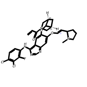 C=CC(=O)N1C[C@H]2C[C@@H](C1)C2Oc1cc2c(Nc3ccc(Cl)c(Cl)c3F)ncnc2cc1O/C=C/C1CCCN1C